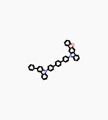 c1ccc(-c2ccc3c(c2)c2ccccc2n3-c2ccc(-c3ccc(-c4ccc(-n5c6ccccc6c6cc7oc8ccccc8c7cc65)cc4)cc3)cc2)cc1